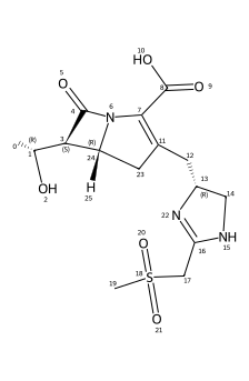 C[C@@H](O)[C@H]1C(=O)N2C(C(=O)O)=C(C[C@@H]3CNC(CS(C)(=O)=O)=N3)C[C@H]12